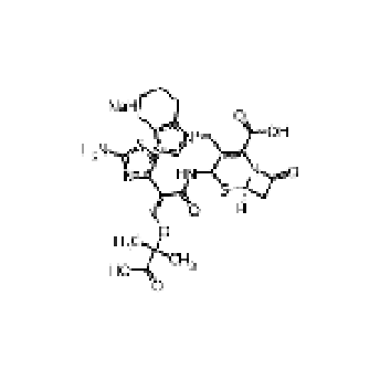 CC(C)(O/N=C(\C(=O)NC1S[C@@H]2CC(=O)N2C(C(=O)O)=C1C[n+]1csc2c1CCCC2)c1csc(N)n1)C(=O)O.[NaH]